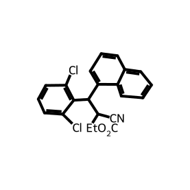 CCOC(=O)C(C#N)C(c1c(Cl)cccc1Cl)c1cccc2ccccc12